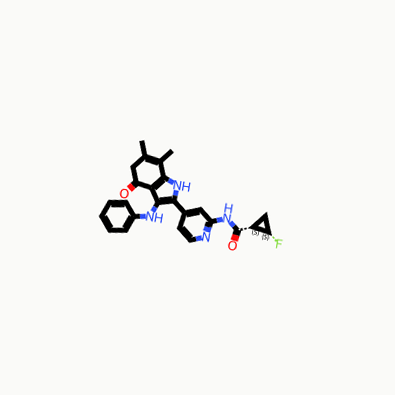 CC1=C(C)c2[nH]c(-c3ccnc(NC(=O)[C@@H]4C[C@@H]4F)c3)c(Nc3ccccc3)c2C(=O)C1